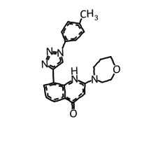 Cc1ccc(-n2cc(-c3cccc4c(=O)cc(N5CCCOCC5)[nH]c34)nn2)cc1